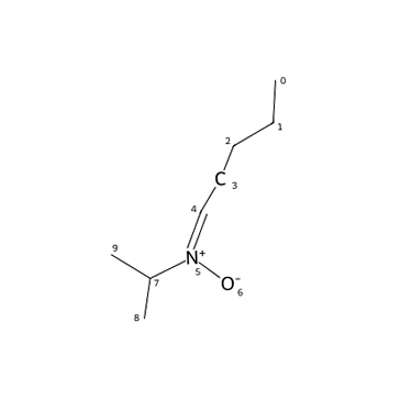 CCCCC=[N+]([O-])C(C)C